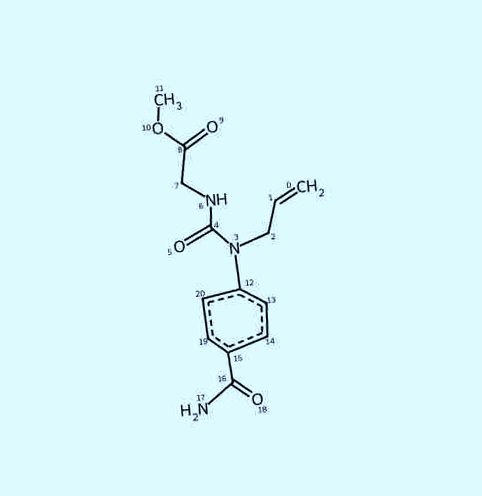 C=CCN(C(=O)NCC(=O)OC)c1ccc(C(N)=O)cc1